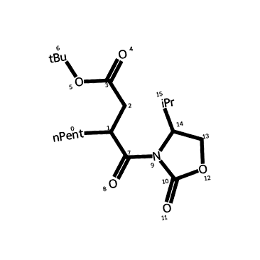 CCCCCC(CC(=O)OC(C)(C)C)C(=O)N1C(=O)OCC1C(C)C